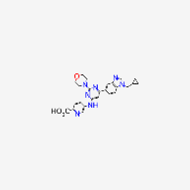 O=C(O)c1ccc(Nc2cc(-c3ccc4c(c3)ncn4CC3CC3)nc(N3CCOCC3)n2)cn1